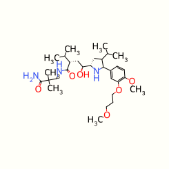 COCCCOc1cc(C2N[C@H]([C@@H](O)C[C@H](C(=O)NCC(C)(C)C(N)=O)C(C)C)CC2C(C)C)ccc1OC